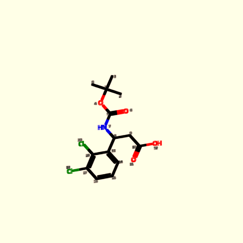 CC(C)(C)OC(=O)NC(CC(=O)O)c1cccc(Cl)c1Cl